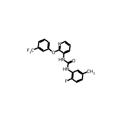 Cc1ccc(F)c(NC(=O)Nc2cccnc2Oc2cccc(C(F)(F)F)c2)c1